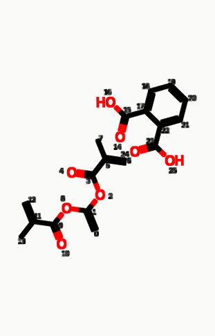 C=C(OC(=O)C(=C)C)OC(=O)C(=C)C.O=C(O)c1ccccc1C(=O)O